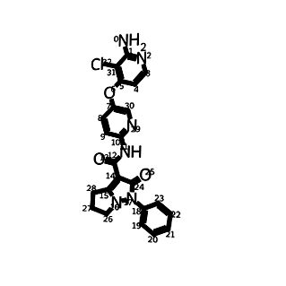 Nc1nccc(Oc2ccc(NC(=O)c3c4n(n(-c5ccccc5)c3=O)CCC4)nc2)c1Cl